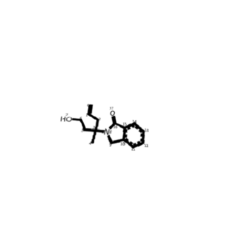 C=CCC(C)(CCO)N1Cc2ccccc2C1=O